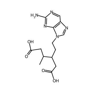 CC(CC(=O)O)C(CCn1cnc2cnc(N)nc21)CC(=O)O